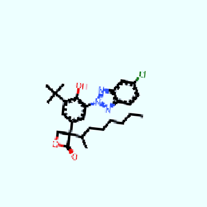 CCCCCCC(C)C1(c2cc(-n3nc4ccc(Cl)cc4n3)c(O)c(C(C)(C)C)c2)COC1=O